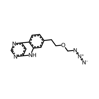 [N-]=[N+]=NCOCCc1ccc2c(c1)Nc1cc-2ncn1